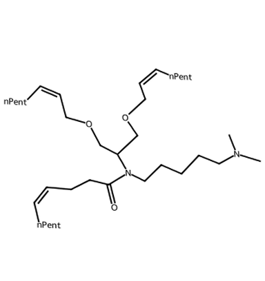 CCCCC/C=C\CCC(=O)N(CCCCCN(C)C)C(COC/C=C\CCCCC)COC/C=C\CCCCC